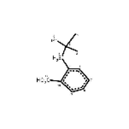 CC(C)C(C)(C)[SiH2]c1ccccc1C(=O)O